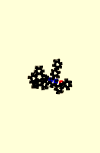 c1ccc(-c2ccc(-c3nc(-c4ccc5c(c4)C4(c6ccccc6-c6ccccc6-c6ccccc64)c4ccccc4-5)cc(-c4cccc5c4oc4ccccc45)n3)cc2)cc1